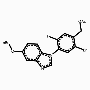 CCCCOc1ccc2c(c1)ncn2-c1cc(Br)c(COC(C)=O)cc1F